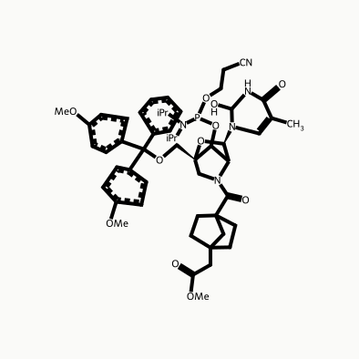 COC(=O)CC12CCC(C(=O)N3C[C@]4(COC(c5ccccc5)(c5ccc(OC)cc5)c5ccc(OC)cc5)O[C@@H](N5C=C(C)C(=O)NC5O)C3C4OP(OCCC#N)N(C(C)C)C(C)C)(CC1)C2